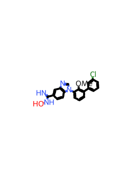 COc1c(-c2cccc(Cl)c2)cccc1-n1cnc2cc(C(=N)NO)ccc21